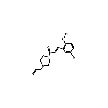 C=CCN1CCN(C(=O)/C=C/c2cc(Br)ccc2OCC)CC1